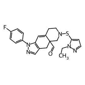 CCn1nccc1SN1CCC2=Cc3c(cnn3-c3ccc(F)cc3)CC2(C=O)C1